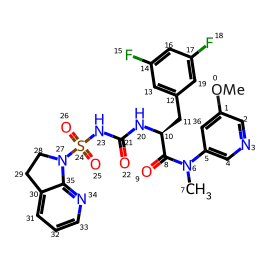 COc1cncc(N(C)C(=O)[C@H](Cc2cc(F)cc(F)c2)NC(=O)NS(=O)(=O)N2CCc3cccnc32)c1